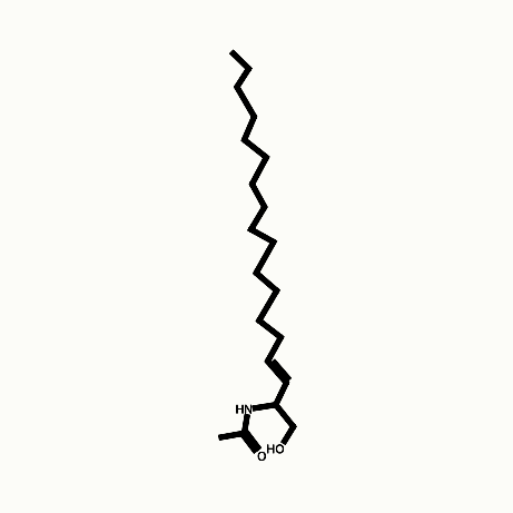 CCCCCCCCCCCCCCC=CC(CO)NC(C)=O